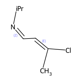 C/C(Cl)=C\C=N/C(C)C